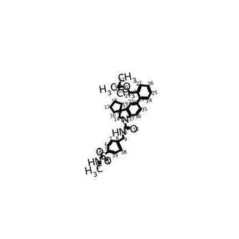 CNS(=O)(=O)c1ccc(CNC(=O)N2CC3(CCCC3)c3cc(-c4ccccc4COC(C)(C)C)ccc32)cc1